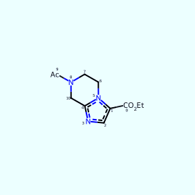 CCOC(=O)c1cnc2n1CCN(C(C)=O)C2